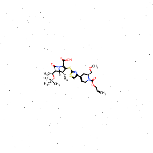 C=CCOC(=O)N1CC=C(c2csc(SC3=C(C(=O)O)N4C(=O)[C@H]([C@@H](C)O[Si](C)(C)C)[C@H]4[C@H]3C)n2)C[C@H]1COC